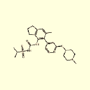 Cc1cc2c(c(NC(=O)NS(=O)(=O)C(C)C)c1-c1ccnc(OC3CCN(C)CC3)c1)CCC2